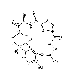 CC(C)[C@@H](NC(=O)[C@@H]1CCN(C(=O)CCC(N)=O)C1)C(=O)N1CC[C@](O)(c2ccc(Cl)cc2)C(C)(C)C1